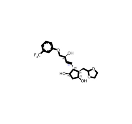 O[C@H](/C=C/[C@@H]1[C@@H](CC2OCCO2)[C@@H](O)C[C@H]1O)COc1cccc(C(F)(F)F)c1